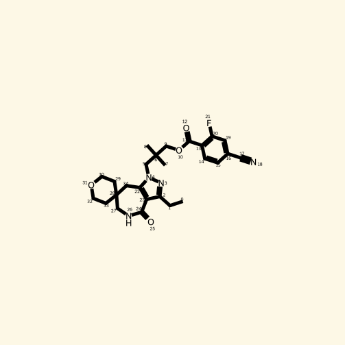 CCc1nn(CC(C)(C)COC(=O)c2ccc(C#N)cc2F)c2c1C(=O)NCC1(CCOCC1)C2